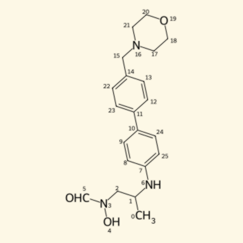 CC(CN(O)C=O)Nc1ccc(-c2ccc(CN3CCOCC3)cc2)cc1